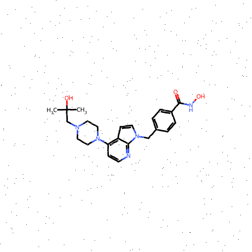 CC(C)(O)CN1CCN(c2ccnc3c2ccn3Cc2ccc(C(=O)NO)cc2)CC1